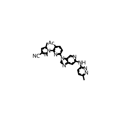 CC(=O)c1ccc(-n2cnc3cc(Nc4ccc(C)nn4)ncc32)nc1-n1nc(C#N)cc1C